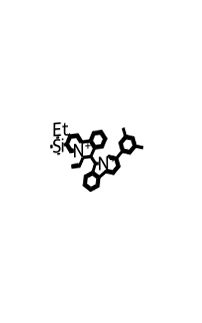 C=CC1C(C2c3ccccc3-c3ccc(-c4cc(C)cc(C)c4)c[n+]32)c2ccccc2-c2cc(CC)c([Si](C)(C)C)c[n+]21